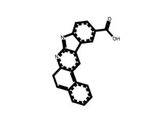 O=C(O)c1ccc2c(c1)-c1cc3c(nc1=N2)CC=c1ccccc1=3